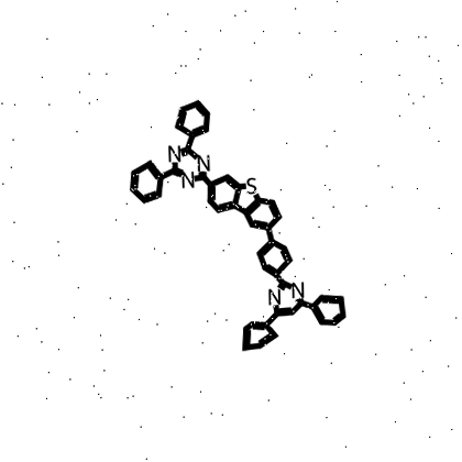 c1ccc(-c2cc(-c3ccccc3)nc(-c3ccc(-c4ccc5sc6cc(-c7nc(-c8ccccc8)nc(-c8ccccc8)n7)ccc6c5c4)cc3)n2)cc1